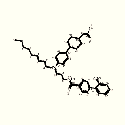 CCCCCCCCCN(CCCNC(=O)c1ccc(-c2ccccc2Cl)cc1)c1ccc(C2CCC(CC(=O)O)CC2)cc1